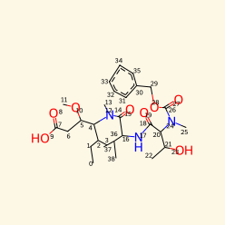 CCC(C)C(C(CC(=O)O)OC)N(C)C(=O)C(NC(=O)C(C(C)O)N(C)C(=O)OCc1ccccc1)C(C)C